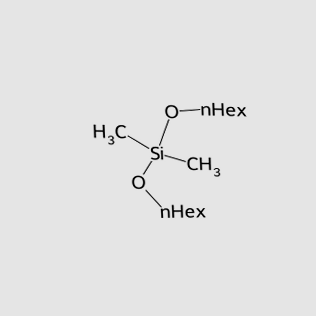 CCCCCCO[Si](C)(C)OCCCCCC